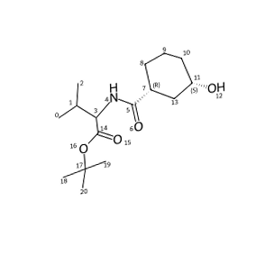 CC(C)C(NC(=O)[C@@H]1CCC[C@H](O)C1)C(=O)OC(C)(C)C